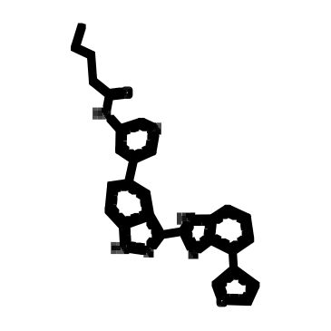 CCCCC(=O)Nc1cncc(-c2ccc3[nH]nc(-c4nc5c(-c6ccoc6)cccc5[nH]4)c3c2)c1